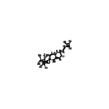 CC(C)[Si](Oc1ccc2cc(C#C[Si](C)(C)C)ccc2c1)(C(C)C)C(C)C